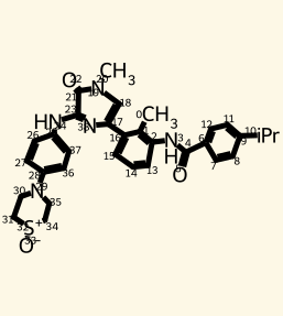 Cc1c(NC(=O)c2ccc(C(C)C)cc2)cccc1-c1cn(C)c(=O)c(Nc2ccc(N3CC[S+]([O-])CC3)cc2)n1